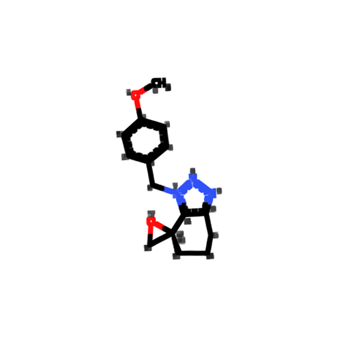 COc1ccc(Cn2nnc3c2[C@]2(CCC3)CO2)cc1